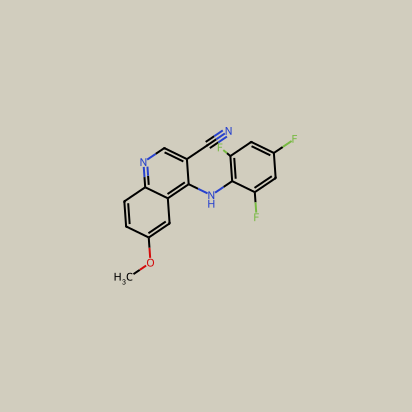 COc1ccc2ncc(C#N)c(Nc3c(F)cc(F)cc3F)c2c1